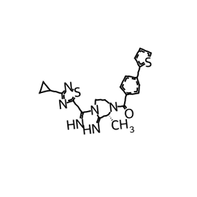 C[C@@H]1C(=N)N(C(=N)c2nc(C3CC3)ns2)CCN1C(=O)c1ccc(-c2cccs2)cc1